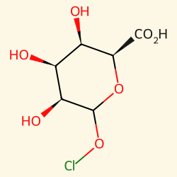 O=C(O)[C@H]1OC(OCl)[C@@H](O)[C@@H](O)[C@H]1O